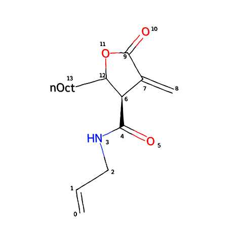 C=CCNC(=O)[C@@H]1C(=C)C(=O)OC1CCCCCCCC